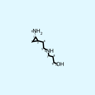 N[C@H]1CC1CCNCCCO